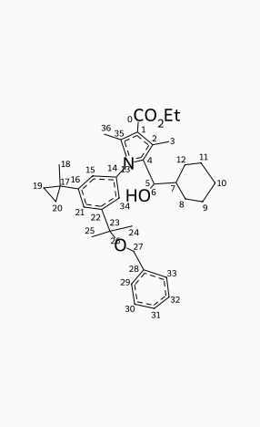 CCOC(=O)c1c(C)c(C(O)C2CCCCC2)n(-c2cc(C3(C)CC3)cc(C(C)(C)OCc3ccccc3)c2)c1C